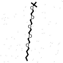 CCCCCOCCOCCOCCOCCOC(C)(C)C